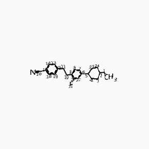 CCC1CCC(c2ccc(CCc3ccc(C#N)cc3)c(F)c2)CC1